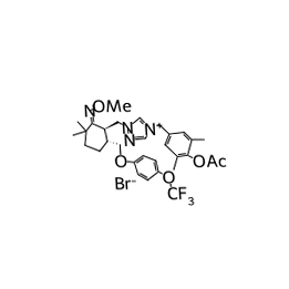 CO/N=C1\[C@@H](Cn2c[n+](Cc3cc(C)c(OC(C)=O)c(C)c3)cn2)[C@H](COc2ccc(OC(F)(F)F)cc2)CCC1(C)C.[Br-]